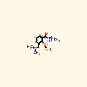 CCOc1c(CN(C)C)cccc1C(=O)NNC